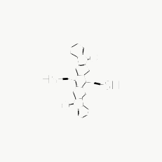 O=c1c2ccccc2c2cc3c(C#CS)c4cc5c(=O)c6ccccc6c5cc4c(C#CS)c3cc12